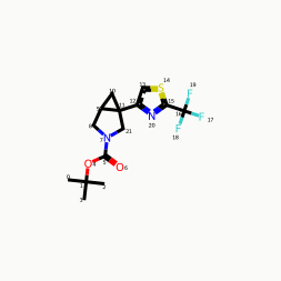 CC(C)(C)OC(=O)N1CC2CC2(c2csc(C(F)(F)F)n2)C1